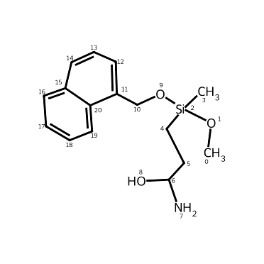 CO[Si](C)(CCC(N)O)OCc1cccc2ccccc12